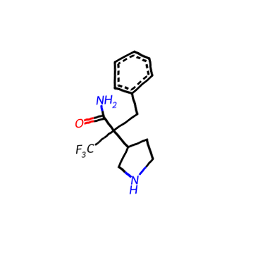 NC(=O)C(Cc1ccccc1)(C1CCNC1)C(F)(F)F